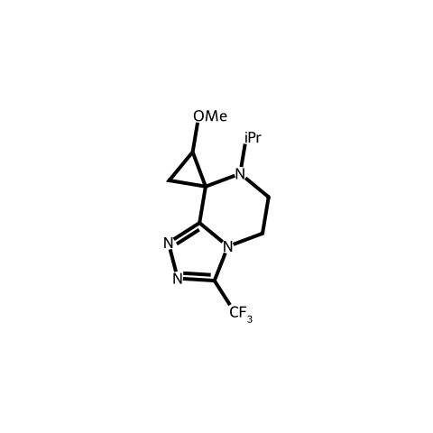 COC1CC12c1nnc(C(F)(F)F)n1CCN2C(C)C